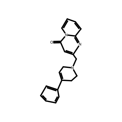 O=c1cc(CN2CC=C(c3ccccc3)CC2)nc2ccccn12